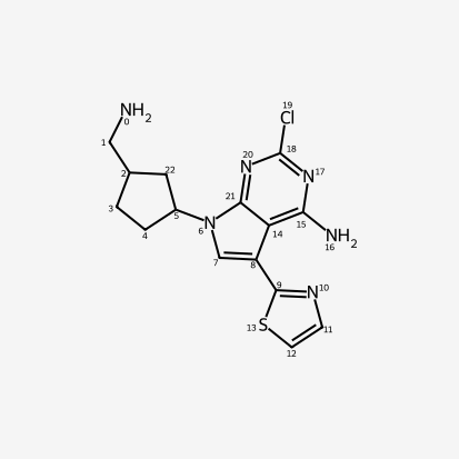 NCC1CCC(n2cc(-c3nccs3)c3c(N)nc(Cl)nc32)C1